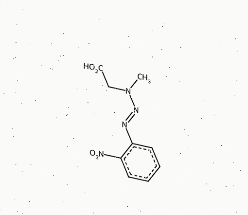 CN(CC(=O)O)/N=N/c1ccccc1[N+](=O)[O-]